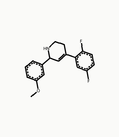 COc1cccc(C2C=C(c3cc(F)ccc3F)CCN2)c1